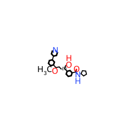 Cc1ccc(-c2ccncc2)cc1C(=O)CC[C@H](CO)c1cccc(C(=O)NC2CCCC2)c1